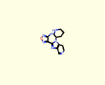 Nc1nonc1-c1nc2cnccc2n1C1CCCNC1